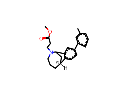 COC(=O)CCN1CCC[C@H]2CC1c1cc(-c3cccc(C)c3)ccc12